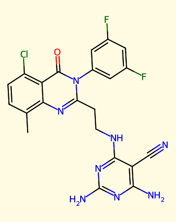 Cc1ccc(Cl)c2c(=O)n(-c3cc(F)cc(F)c3)c(CCNc3nc(N)nc(N)c3C#N)nc12